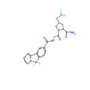 NC(=O)C1CC(OC(F)F)CN1C(=O)CNC(=O)c1ccc2c(c1)-c1ccccc1C2(F)F